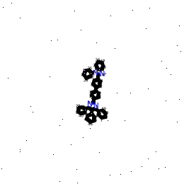 c1ccc(-c2nc(-c3ccc(-c4ccc(-c5nc6ccccc6n5-c5ccccc5)cc4)cc3)nc(-c3ccccc3)c2-c2ccccc2)cc1